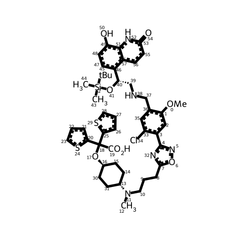 COc1cc(-c2noc(CCCN(C)[C@H]3CC[C@H](OC(C(=O)O)(c4cccs4)c4cccs4)CC3)n2)c(Cl)cc1CNC[C@H](O[Si](C)(C)C(C)(C)C)c1ccc(O)c2[nH]c(=O)ccc12